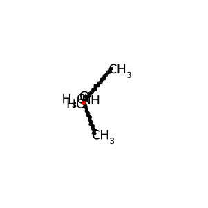 CCCCCCCCCCCCC/C=C/[C@H](O)[C@@H](C)NC(=O)CCCCCCCCCCCCCCCCC